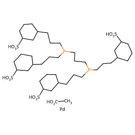 CC(=O)O.O=S(=O)(O)C1CCCC(CCCP(CCCC2CCCC(S(=O)(=O)O)C2)CCCP(CCCC2CCCC(S(=O)(=O)O)C2)CCCC2CCCC(S(=O)(=O)O)C2)C1.[Pd]